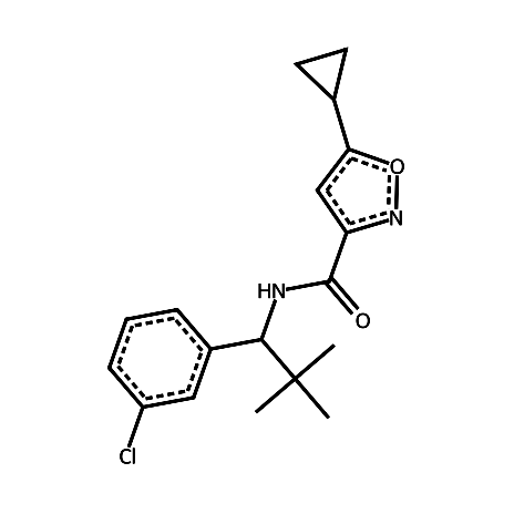 CC(C)(C)C(NC(=O)c1cc(C2CC2)on1)c1cccc(Cl)c1